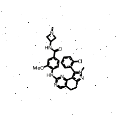 COc1cc(C(=O)NC2CN(C)C2)ccc1Nc1ncc2c(n1)-c1c(nn(C)c1-c1ccccc1Cl)CC2